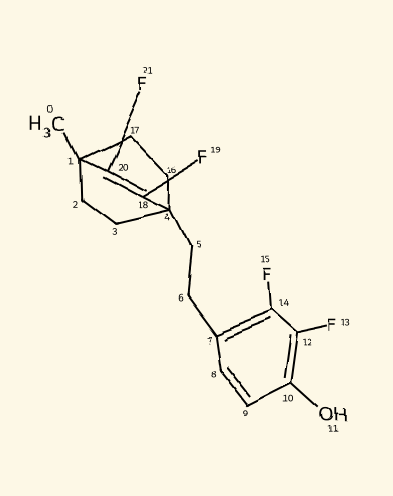 CC12CCC(CCc3ccc(O)c(F)c3F)(CC1)C(F)=C2F